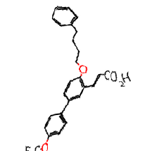 O=C(O)/C=C/c1cc(-c2ccc(OC(F)(F)F)cc2)ccc1OCCCCc1ccccc1